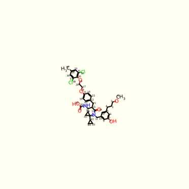 COCCCc1cc(O)cc(CN(C(=O)C(CNC(=O)O)Cc2ccc(OCCOc3c(Cl)cc(C)cc3Cl)cc2)C2(C3CC3)CC2)c1